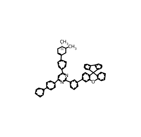 CC1CC(c2ccc(-c3cc(-c4ccc(-c5ccccc5)cc4)nc(-c4cccc(-c5ccc6c(c5)Oc5ccccc5C65c6ccccc6-c6ccccc65)c4)n3)cc2)=CC[C@@H]1C